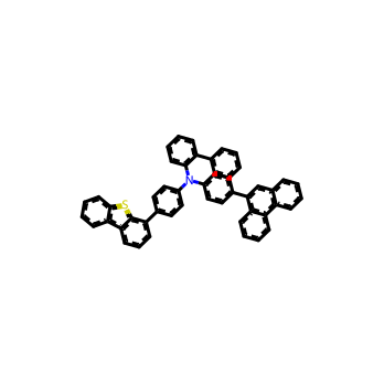 c1ccc(-c2ccccc2N(c2ccc(-c3cc4ccccc4c4ccccc34)cc2)c2ccc(-c3cccc4c3sc3ccccc34)cc2)cc1